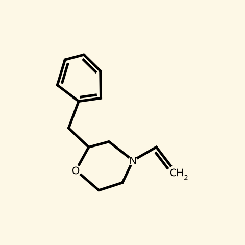 C=CN1CCOC(Cc2ccccc2)C1